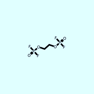 O=P(F)(F)OCCOP(=O)(F)F